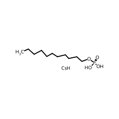 CCCCCCCCCCCOP(=O)(O)O.[CsH]